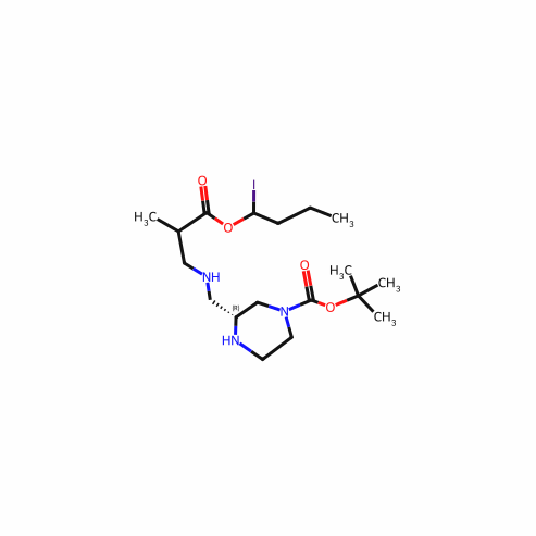 CCCC(I)OC(=O)C(C)CNC[C@@H]1CN(C(=O)OC(C)(C)C)CCN1